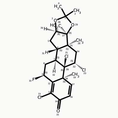 CC1(C)O[C@@H]2C[C@H]3[C@@H]4C[C@H](F)C5=C(Cl)C(=O)C=C[C@]5(C)[C@@]4(Cl)[C@@H](Cl)C[C@]3(C)[C@]2(C(=O)O)O1